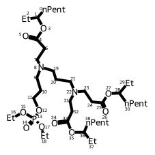 CCCCCC(CC)OC(=O)CCN(CCCOP(=O)(OCC)OCC)CCCN(CCC(=O)OC(CC)CCCCC)CCC(=O)OC(CC)CCCCC